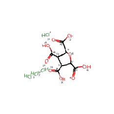 Cl.Cl.Cl.Cl.O=C(O)C1OC(C(=O)O)C(C(=O)O)C1C(=O)O